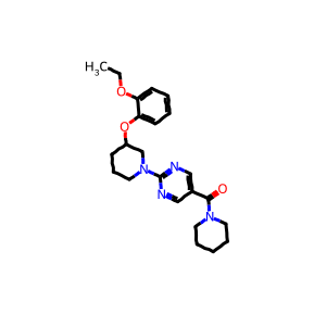 CCOc1ccccc1OC1CCCN(c2ncc(C(=O)N3CCCCC3)cn2)C1